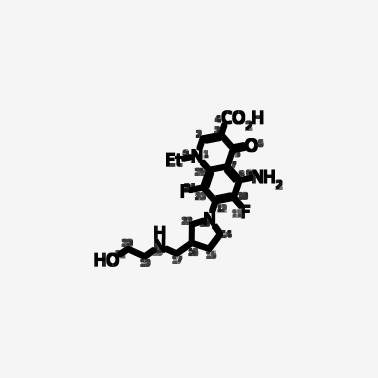 CCn1cc(C(=O)O)c(=O)c2c(N)c(F)c(N3CCC(CNCCO)C3)c(F)c21